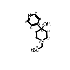 CC(C)(C)CN1CCC(O)(c2ccncc2)CC1